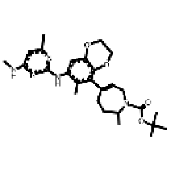 CNc1cc(C)nc(Nc2cc3c(c(C4=CCN(C(=O)OC(C)(C)C)C(C)CC4)c2F)OCCO3)n1